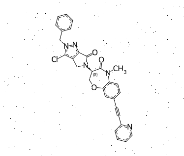 CN1C(=O)[C@H](N2Cc3c(nn(Cc4ccccc4)c3Cl)C2=O)COc2cc(C#Cc3ccccn3)ccc21